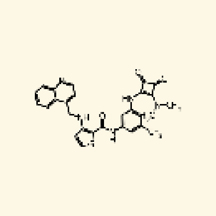 CN(C)c1c(Nc2cc(NC(=O)c3sccc3NCc3ccnc4ccccc34)cc(C(F)(F)F)c2)c(=O)c1=O